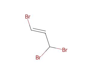 BrC=CC(Br)Br